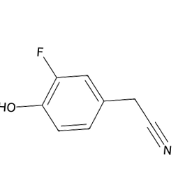 N#CCc1ccc(O)c(F)c1